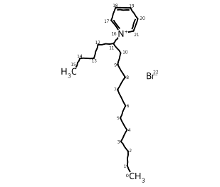 CCCCCCCCCCCC(CCCC)[n+]1ccccc1.[Br-]